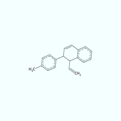 C=CC1c2ccccc2C=CC1c1ccc(C)cc1